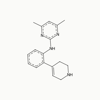 Cc1cc(C)nc(Nc2ccccc2C2=CCNCC2)n1